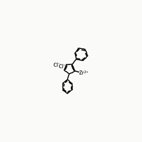 [Cl-].[Cl-].[Zr+2][C]1=C(c2ccccc2)C=CC1c1ccccc1